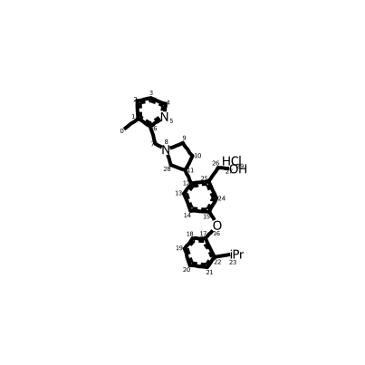 Cc1cccnc1CN1CCC(c2ccc(Oc3ccccc3C(C)C)cc2CO)C1.Cl